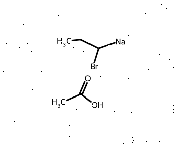 CC(=O)O.CC[CH]([Na])Br